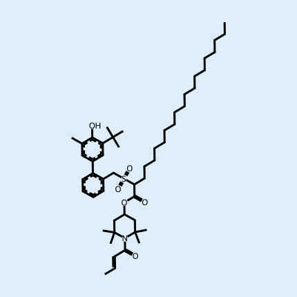 C/C=C/C(=O)N1C(C)(C)CC(OC(=O)C(CCCCCCCCCCCCCCCCCC)S(=O)(=O)Cc2ccccc2-c2cc(C)c(O)c(C(C)(C)C)c2)CC1(C)C